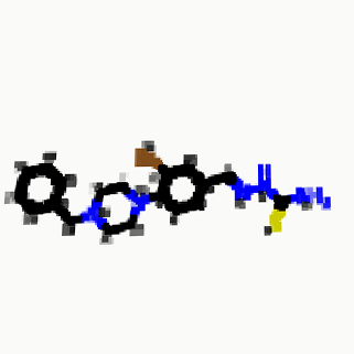 NC(=S)NN=Cc1ccc(N2CCN(Cc3ccccc3)CC2)c(Br)c1